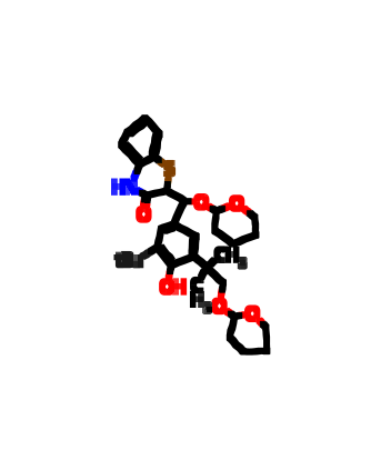 CC(C)(C)c1cc(C(OC2CCCCO2)C2Sc3ccccc3NC2=O)cc(C(C)(C)COC2CCCCO2)c1O